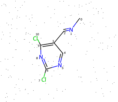 C/N=C/c1cnc(Cl)nc1Cl